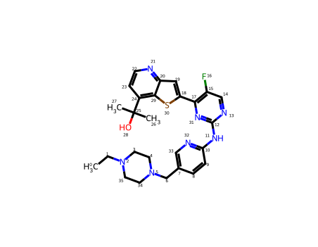 CCN1CCN(Cc2ccc(Nc3ncc(F)c(-c4cc5nccc(C(C)(C)O)c5s4)n3)nc2)CC1